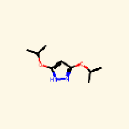 CC(C)Oc1cc(OC(C)C)[nH]n1